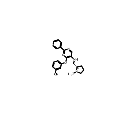 BN1CCC[C@H]1CNc1cnc(-c2cccnc2)nc1Oc1cccc(C#N)c1